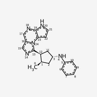 C[C@@H]1C[C@@H](Nc2ccccc2)C[C@@H]1c1ncc2cnc3[nH]ccc3n12